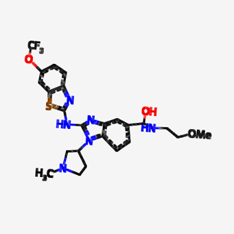 COCCNC(O)c1ccc2c(c1)nc(Nc1nc3ccc(OC(F)(F)F)cc3s1)n2C1CCN(C)C1